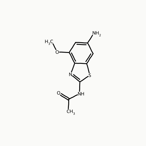 COc1cc(N)cc2sc(NC(C)=O)nc12